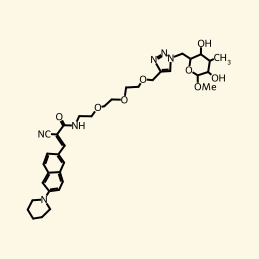 COC1OC(Cn2cc(COCCOCCOCCNC(=O)/C(C#N)=C/c3ccc4cc(N5CCCCC5)ccc4c3)nn2)C(O)C(C)C1O